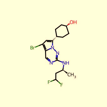 C[C@@H](CC(F)F)Nc1ncc2c(Br)cc([C@H]3CC[C@H](O)CC3)n2n1